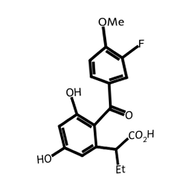 CCC(C(=O)O)c1cc(O)cc(O)c1C(=O)c1ccc(OC)c(F)c1